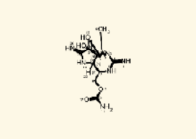 C[C@H]1CN2C(=N)N[C@@H](COC(N)=O)[C@@H]3NC(=N)N[C@@]32C1(O)O